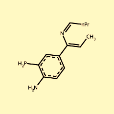 C/C=C(\N=C/CCC)c1ccc(N)c(P)c1